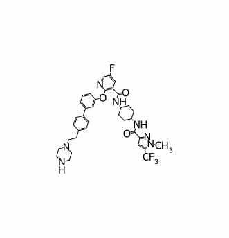 Cn1nc(C(=O)N[C@H]2CC[C@@H](NC(=O)c3cc(F)cnc3Oc3cccc(-c4ccc(CCN5CCNCC5)cc4)c3)CC2)cc1C(F)(F)F